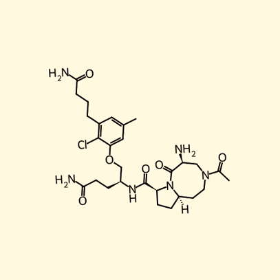 CC(=O)N1CC[C@H]2CC[C@@H](C(=O)N[C@@H](CCC(N)=O)COc3cc(C)cc(CCCC(N)=O)c3Cl)N2C(=O)[C@@H](N)C1